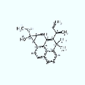 C=CC(=C)C1=C2NC3C(c4ccc5cccc(c5c42)C1(C)C)C3(O)OC